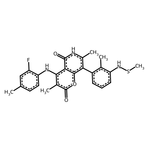 CSNc1cccc(-c2c(C)[nH]c(=O)c3c(Nc4ccc(C)cc4F)c(C)c(=O)oc23)c1C